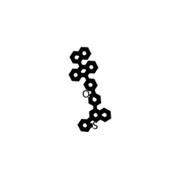 c1ccc2c(-c3c4ccccc4c(-c4ccc5c(c4)oc4cc(-c6cc7c8ccccc8sc7c7ccccc67)ccc45)c4ccccc34)cccc2c1